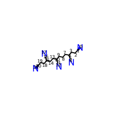 N#CCCC(C#N)CCCC(C#N)CCC(C#N)CCC#N